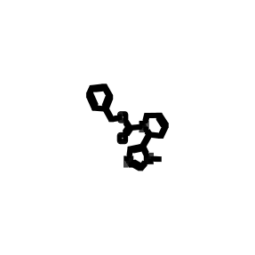 Cn1cncc1C1CC=CCN1C(=O)OCc1ccccc1